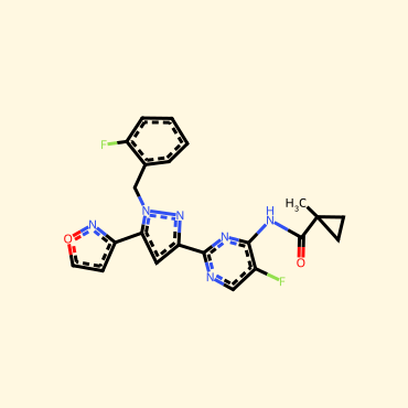 CC1(C(=O)Nc2nc(-c3cc(-c4ccon4)n(Cc4ccccc4F)n3)ncc2F)CC1